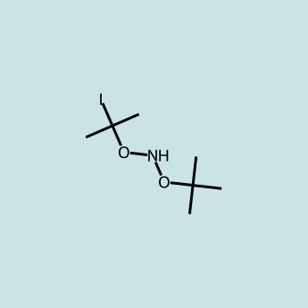 CC(C)(C)ONOC(C)(C)I